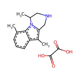 Cc1c2n(c3c(C)cccc13)C(C)CNC2.O=C(O)C(=O)O